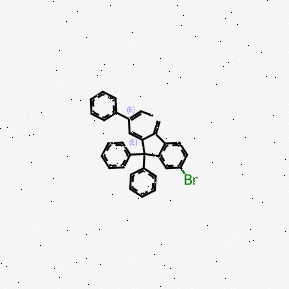 C=C1/C(=C\C(=C/C)c2ccccc2)C(c2ccccc2)(c2ccccc2)c2cc(Br)ccc21